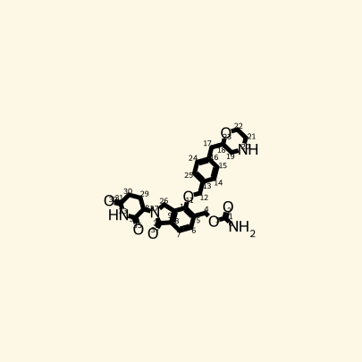 NC(=O)OCc1ccc2c(c1OCc1ccc(CC3CNCCO3)cc1)CN(C1CCC(=O)NC1=O)C2=O